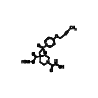 CC#CCOc1ccc(S(=O)(=O)CC2(C(=O)OCCCCCCCC)CCN(C(=O)NO)CC2)cc1